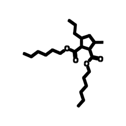 CCCCCCOC(=O)C1C(C)CC(CCC)C1C(=O)OCCCCCC